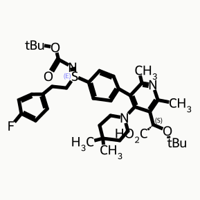 Cc1nc(C)c([C@H](OC(C)(C)C)C(=O)O)c(N2CCC(C)(C)CC2)c1-c1ccc(/S(CCc2ccc(F)cc2)=N/C(=O)OC(C)(C)C)cc1